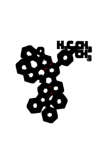 CC(C)(C)c1ccc(-c2ccc(N(c3ccc4c(c3)-c3ccccc3C4(c3ccccc3)c3ccccc3)c3ccc4ccccc4c3-c3cccc4oc5ccccc5c34)c(-c3ccccc3)c2)cc1